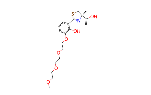 C=C(O)[C@@]1(C)CSC(c2cccc(OCCOCCOCCOC)c2O)=N1